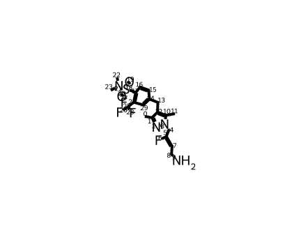 Cc1nn(CC(F)=CCN)c(C)c1Cc1ccc(S(=O)(=O)N(C)C)c(C(F)(F)F)c1